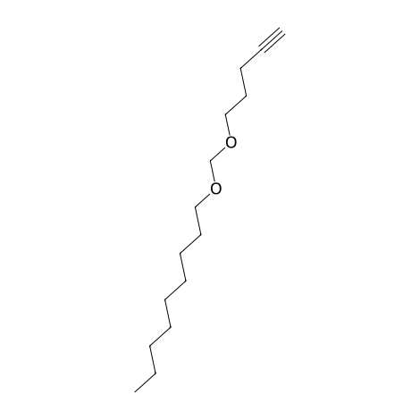 C#CCCCOCOCCCCCCCCC